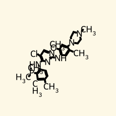 COc1cc(N2CCN(C)CC2)c(C)cc1Nc1ncc(Cl)c(Nc2ccc(C)c(C)c2P(C)C)n1